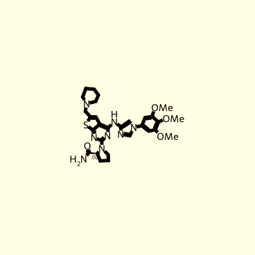 COc1cc(-n2cnc(Nc3nc(N4CCC[C@H]4C(N)=O)nc4sc(CN5CCCCC5)cc34)c2)cc(OC)c1OC